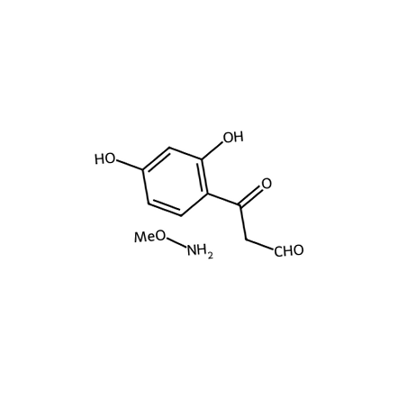 CON.O=CCC(=O)c1ccc(O)cc1O